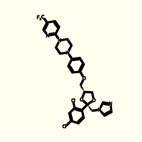 FC(F)(F)c1ccc(N2CCN(c3ccc(OC[C@@H]4CO[C@@](Cn5ccnc5)(c5ccc(Cl)cc5Cl)O4)cc3)CC2)nc1